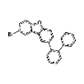 Brc1ccc2oc3ccc(-c4ccccc4-c4ccccc4)cc3c2c1